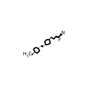 CC[C@H]1CC[C@H](/C=C/[C@H]2CC[C@H](CC/C=C(\F)C#N)CC2)CC1